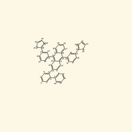 c1ccc(-c2ccccc2-c2ccc3c(-c4cccc(-c5nccs5)c4)c4ccccc4c(-c4cccc(-c5nccs5)c4)c3c2)cc1